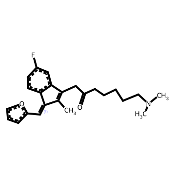 CC1=C(CC(=O)CCCCCN(C)C)c2cc(F)ccc2/C1=C\c1ccco1